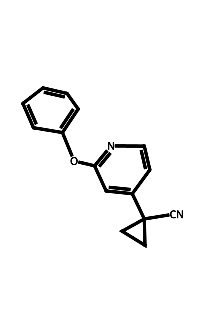 N#CC1(c2ccnc(Oc3ccccc3)c2)CC1